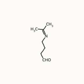 CC(C)=NCCCC=O